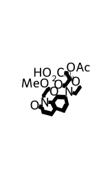 COC(=O)Cn1c(=O)ccc2ccc(N3CCO[C@H]([C@@H](OC(C)=O)C(=O)O)C3=O)cc21